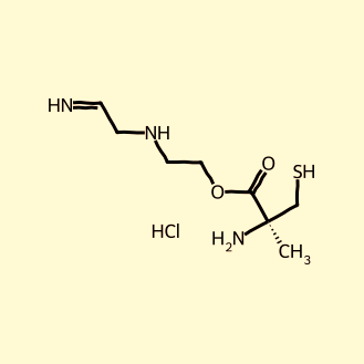 C[C@@](N)(CS)C(=O)OCCNCC=N.Cl